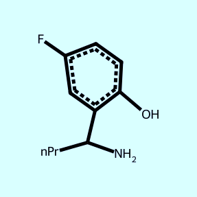 CCCC(N)c1cc(F)ccc1O